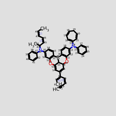 C#C/C=C\C(=C/C)C1=CC2Oc3cc(N(C4=CC=CCC=C4)c4ccccc4)ccc3B3c4ccc(N(c5ccccc5)C(C)/C=C\C=C/C)cc4OC(=C1)C32